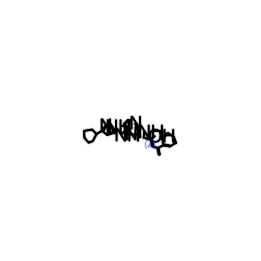 C=C(/C=C(\O)CNc1nccc(Nc2cc(C3CCCCC3)n[nH]2)n1)c1ccccc1